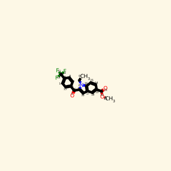 CCn1c(C(=O)c2ccc(C(F)(F)F)cc2)cc2cc(C(=O)OC)ccc21